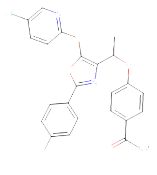 CNC(=O)c1ccc(OC(C)c2nc(-c3ccc(F)cc3)oc2Sc2ccc(Cl)cn2)cc1